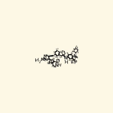 CN1CCC(N(C)c2ccc(NC(=O)Cc3cccc(C#Cc4cnc(N)nc4-c4cc5c(n4C)CCNC5=O)c3)cc2C(F)(F)F)CC1